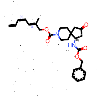 C=C/C=C\C=C(/C)COC(=O)N1CCC2(CC1)CC(=O)C[C@H]2NC(=O)OCc1ccccc1